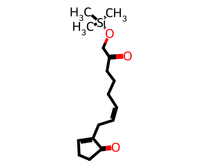 C[Si](C)(C)OCC(=O)CCC/C=C\CC1=CCCC1=O